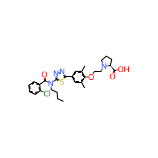 CCCCN(C(=O)c1ccccc1Cl)c1nnc(-c2cc(C)c(OCCN3CCC[C@H]3C(=O)O)c(C)c2)s1